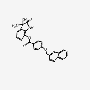 CC1(C)C(=O)Nc2c(OC(=O)c3ccc(OCc4ccc5ccccc5n4)cc3)cccc21